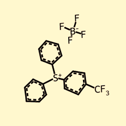 FC(F)(F)c1ccc([S+](c2ccccc2)c2ccccc2)cc1.F[B-](F)(F)F